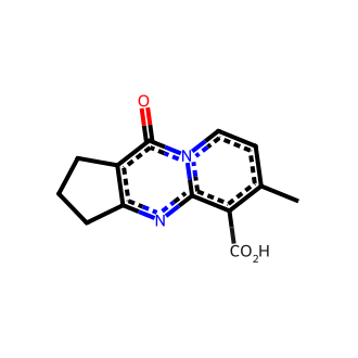 Cc1ccn2c(=O)c3c(nc2c1C(=O)O)CCC3